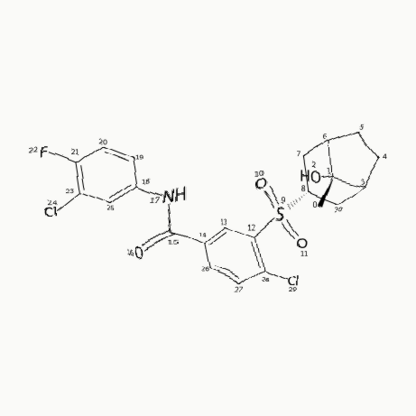 C[C@]1(O)C2CCC1C[C@@H](S(=O)(=O)c1cc(C(=O)Nc3ccc(F)c(Cl)c3)ccc1Cl)C2